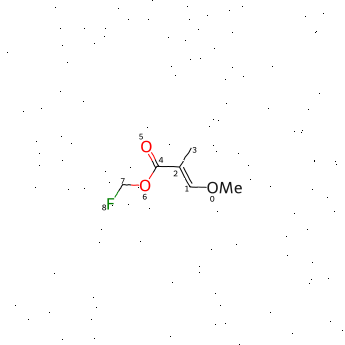 CO/C=C(\C)C(=O)OCF